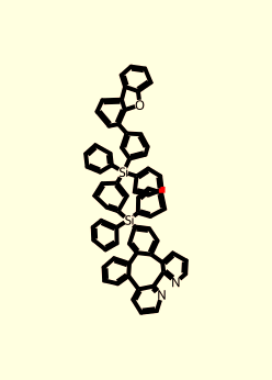 c1ccc([Si](c2ccccc2)(c2cccc(-c3cccc4c3oc3ccccc34)c2)c2cccc([Si](c3ccccc3)(c3ccccc3)c3ccc4c(c3)-c3ccccc3-c3cccnc3-c3ncccc3-4)c2)cc1